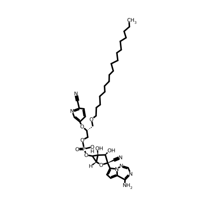 CCCCCCCCCCCCCCCCCCOC[C@H](COP(=O)(O)OC1[C@H]2O[C@@](C#N)(c3ccc4c(N)ncnn34)[C@H](O)[C@@]12O)Oc1ccc(C#N)nc1